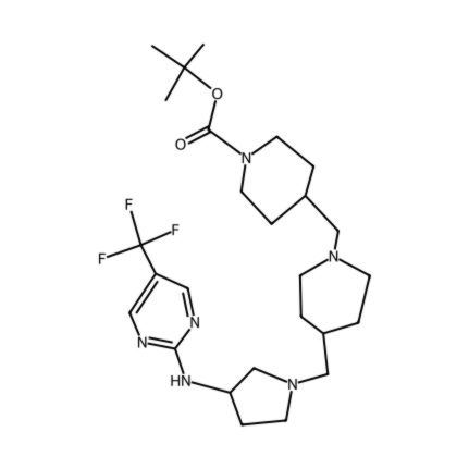 CC(C)(C)OC(=O)N1CCC(CN2CCC(CN3CCC(Nc4ncc(C(F)(F)F)cn4)C3)CC2)CC1